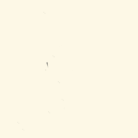 COCCN(C[C@@H]1CCCN(c2c(NC(=O)c3csc(-c4ccnnc4)n3)ccc(Oc3cccc(F)c3)c2C(F)(F)F)C1)S(=O)(=O)c1ccc([N+](=O)[O-])cc1